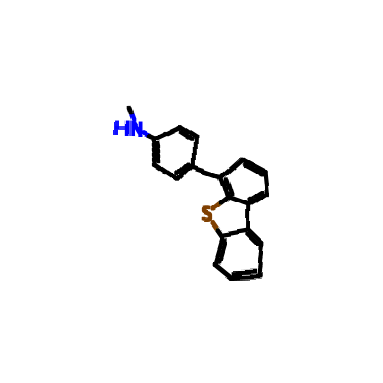 CNc1ccc(-c2cccc3c2sc2ccccc23)cc1